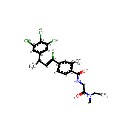 CN(CC(F)(F)F)C(=O)CNC(=O)c1ccc(/C(F)=C/C(c2cc(Cl)c(Cl)c(Cl)c2)C(F)(F)F)cc1C(F)(F)F